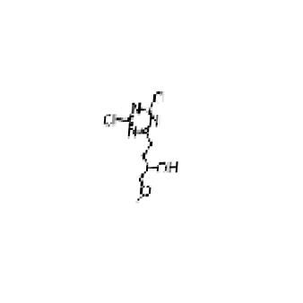 COCC(O)CCc1nc(Cl)nc(Cl)n1